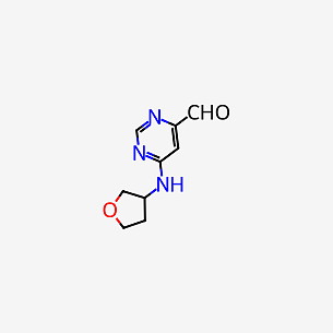 O=Cc1cc(NC2CCOC2)ncn1